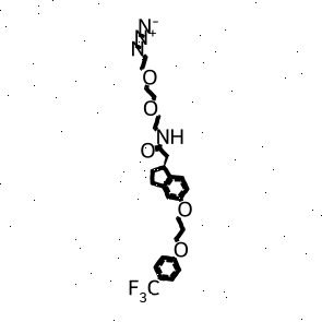 [N-]=[N+]=NCCOCCOCCNC(=O)C[C@@H]1CCc2cc(OCCCOc3ccc(C(F)(F)F)cc3)ccc21